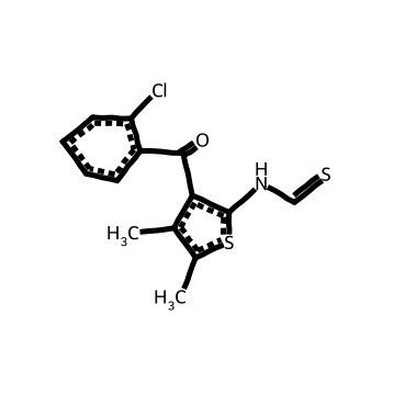 Cc1sc(NC=S)c(C(=O)c2ccccc2Cl)c1C